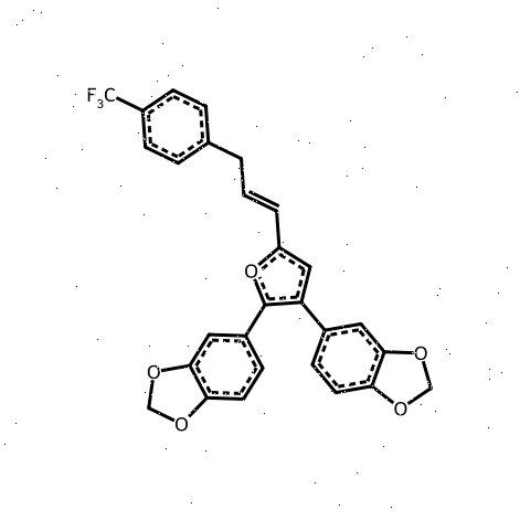 FC(F)(F)c1ccc(C/C=C/c2cc(-c3ccc4c(c3)OCO4)c(-c3ccc4c(c3)OCO4)o2)cc1